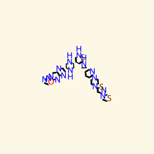 C1=CNSC=C1.C1CN1.C1CNCCN1.c1ccncc1.c1cnc2ncncc2n1.c1cnccn1.c1cnsc1.c1conn1.c1cscn1